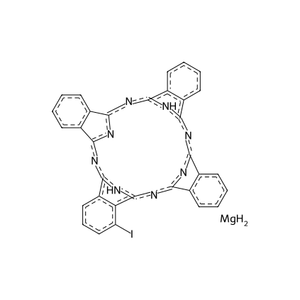 Ic1cccc2c3nc4nc(nc5[nH]c(nc6nc(nc([nH]3)c12)-c1ccccc1-6)c1ccccc51)-c1ccccc1-4.[MgH2]